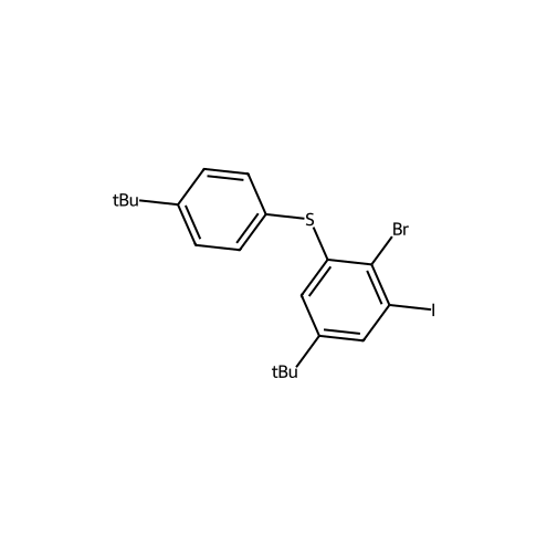 CC(C)(C)c1ccc(Sc2cc(C(C)(C)C)cc(I)c2Br)cc1